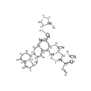 C=CC(=O)N1CCN(c2c(CC#N)c(OC[C@@H]3CCCN3C)nc3cc(-c4cccc5ccsc45)c(F)cc23)C[C@@H]1CC#N